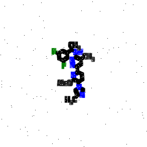 COc1nc(-c2cc(C)c(NC(C)c3cc(F)cc(F)c3)nn2)ccc1-n1cnc(C)c1